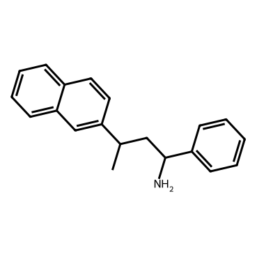 CC(CC(N)c1ccccc1)c1ccc2ccccc2c1